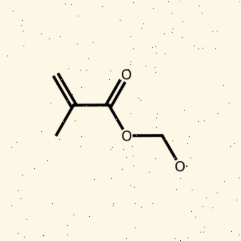 C=C(C)C(=O)OC[O]